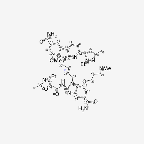 CCc1nc(C)oc1C(=O)Nc1nc2cc(C(N)=O)cc(OCCCNC)c2n1C/C=C/Cn1c2nc(-c3cc(C)nn3CC)ccc2c2cc(C(N)=O)cc(OC)c21